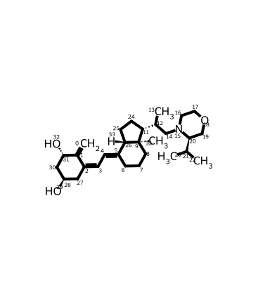 C=C1/C(=C\C=C2/CCC[C@]3(C)[C@@H](C(C)CN4CCOC[C@H]4C(C)C)CC[C@@H]23)C[C@@H](O)C[C@@H]1O